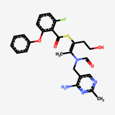 CC(=C(CCO)SC(=O)c1c(F)cccc1Oc1ccccc1)N(C=O)Cc1cnc(C)nc1N